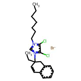 CCCCCCC[n+]1cn(C2(CC)C=Cc3ccccc3C2)c(Cl)c1Cl.[Br-]